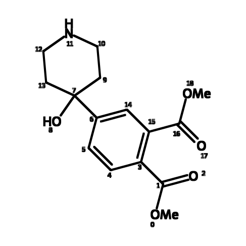 COC(=O)c1ccc(C2(O)CCNCC2)cc1C(=O)OC